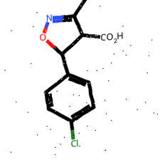 CC1=NOC(c2ccc(Cl)cc2)C1C(=O)O